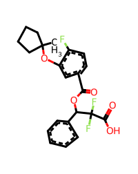 CC1(Oc2cc(C(=O)OC(c3ccccc3)C(F)(F)C(=O)O)ccc2F)CCCC1